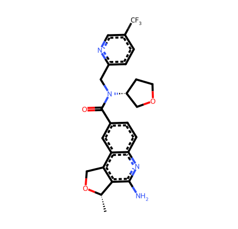 C[C@@H]1OCc2c1c(N)nc1ccc(C(=O)N(Cc3ccc(C(F)(F)F)cn3)[C@@H]3CCOC3)cc21